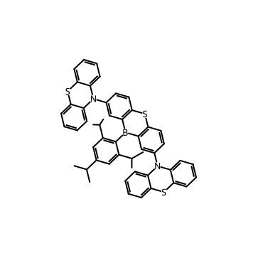 CC(C)c1cc(C(C)C)c(B2c3cc(N4c5ccccc5Sc5ccccc54)ccc3Sc3ccc(N4c5ccccc5Sc5ccccc54)cc32)c(C(C)C)c1